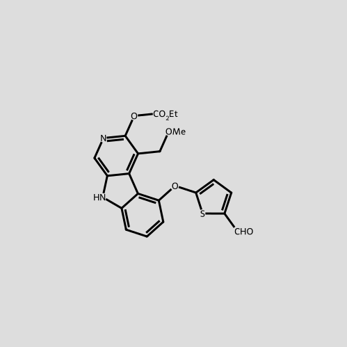 CCOC(=O)Oc1ncc2[nH]c3cccc(Oc4ccc(C=O)s4)c3c2c1COC